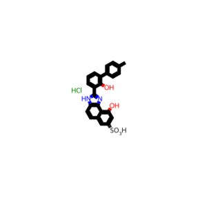 Cc1ccc(-c2cccc(-c3nc4c(ccc5cc(S(=O)(=O)O)cc(O)c54)[nH]3)c2O)cc1.Cl